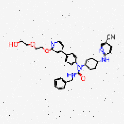 N#Cc1ccc(N[C@H]2CC[C@H](N(C(=O)NCc3ccccc3)c3ccc(-c4ccnc(OCCOCCO)c4)cc3)CC2)nc1